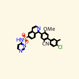 COc1cc(-c2ccc(Cl)c(C)c2)c(C#N)cc1-c1nccc2cc(S(=O)(=O)Nc3ccncn3)ccc12